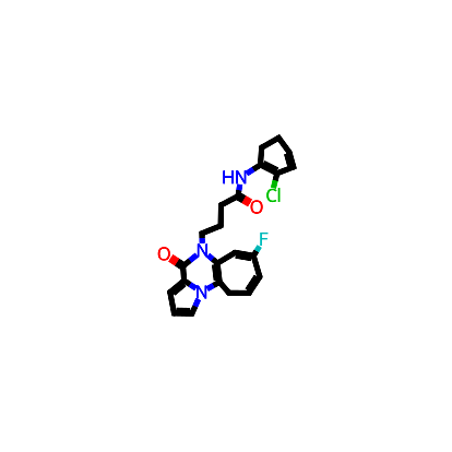 O=C(CCCn1c2c(n3cccc3c1=O)CC=CC(F)=C2)NC1=C(Cl)C=CCC1